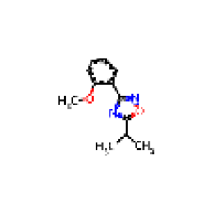 COc1ccccc1-c1noc(C(C)C)n1